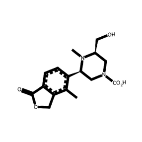 Cc1c([C@@H]2CN(C(=O)O)C[C@H](CO)N2C)ccc2c1COC2=O